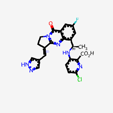 C[C@@H](Nc1ccc(Cl)nc1C(=O)O)c1cc(F)cc2c(=O)n3c(nc12)/C(=C/c1cn[nH]c1)CC3